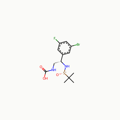 CC(C)(C)[S@+]([O-])N[C@H](CNC(=O)O)c1cc(F)cc(Br)c1